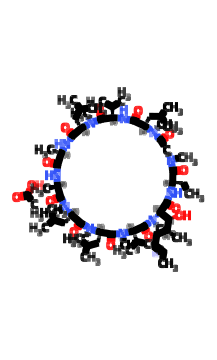 C/C=C/C[C@@H](C)[C@@H](O)[C@H]1C(=O)N[C@@H](CC)C(=O)N(C)CC(=O)N(C)[C@@H](CC(C)C)C(=O)N[C@@H](C(C)C)C(=O)N(C)[C@@H](CC(C)C)C(=O)N[C@@H](C)C(=O)N[C@H](C)C(=O)N(C)[C@@H](CC(C)C)C(=O)N(C)[C@@H](CC(C)C)C(=O)N(C)[C@@H](C(C)C)C(=O)N1C.CC(=O)O